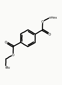 CCCCCCOC(=O)c1ccc(C(=O)OCC(C)CC)cc1